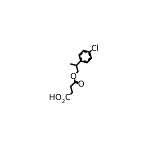 CC(COC(=O)CCC(=O)O)c1ccc(Cl)cc1